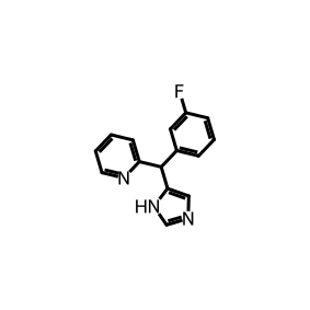 Fc1cccc(C(c2ccccn2)c2cnc[nH]2)c1